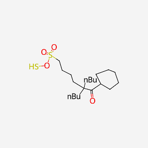 CCCCC(CCCC)(CCCCS(=O)(=O)OS)C(=O)C1CCCCC1